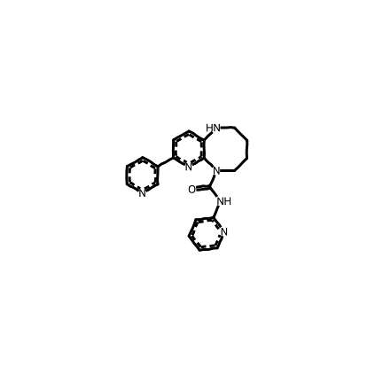 O=C(Nc1ccccn1)N1CCCCNc2ccc(-c3cccnc3)nc21